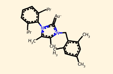 Cc1cc(C)c(Cn2c(C)c(C)n(-c3c(C(C)C)cccc3C(C)C)[c]2=[Au-])c(C)c1